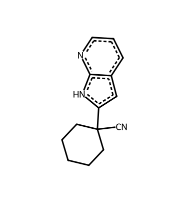 N#CC1(c2cc3cccnc3[nH]2)CCCCC1